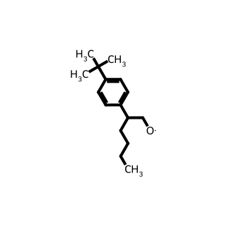 CCCCC(C[O])c1ccc(C(C)(C)C)cc1